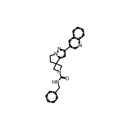 O=C(NCc1ccccc1)N1CC2(CCn3nc(-c4cnc5ccccc5c4)cc32)C1